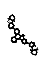 CC1(C)c2cc(-c3ccc4c(c3)C3(C)CCCCC3(C)O4)ccc2-c2c1c1ccc(-c3ccc4c(c3)C3(C)CCCCC3(C)O4)cc1c1ccccc21